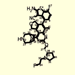 N#Cc1c(N)sc2c(F)ccc(-c3c4c(c5c(N6C7CCC6CNC7)nc(OC[C@@H]6CCCN6CCF)nc5c3F)COC4)c12